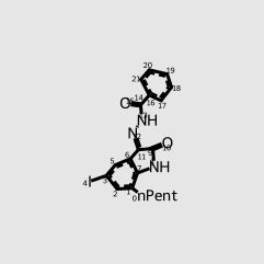 CCCCCc1cc(I)cc2c1NC(=O)/C2=N\NC(=O)c1ccccc1